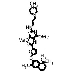 COc1nc(NCCCN2CCN(C)CC2)nc(OC)c1NC(=O)c1ccc(Oc2cc3c(cc2C)CCCC3(C)C)o1